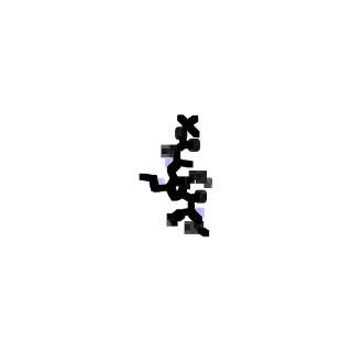 C/C=C/c1cc(C(=O)/C(C#N)=C/NC)n(P)c1/C=C(\C)NC(=O)OC(C)(C)C